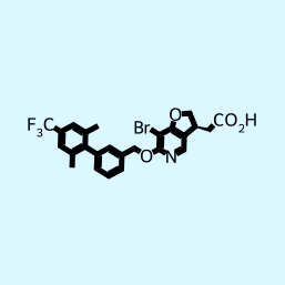 Cc1cc(C(F)(F)F)cc(C)c1-c1cccc(COc2ncc3c(c2Br)OC[C@H]3CC(=O)O)c1